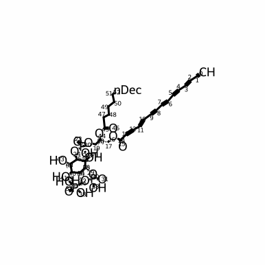 C#CC#CC#CC#CC#CC#CC#CC(=O)OC[C@H](COP(=O)(O)OC1C(O)[C@H](OP(=O)(O)O)[C@H](CP(=O)(O)O)C(O)[C@@H]1O)OC(=O)CCCCCCCCCCCCCCC